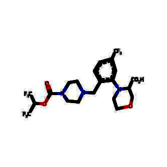 O=C(O)C1COCCN1c1cc(C(F)(F)F)ccc1CN1CCN(C(=O)OC(C(F)(F)F)C(F)(F)F)CC1